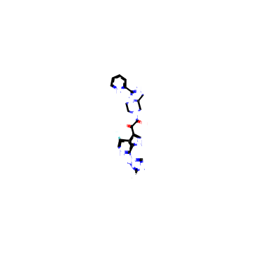 Cc1ncn(-c2ncc(F)c3c(C(=O)C(=O)N4CCN5C(c6ccccn6)=NCC5C4)c[nH]c23)n1